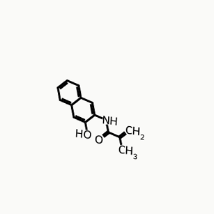 C=C(C)C(=O)Nc1cc2ccccc2cc1O